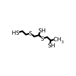 CC(S)CSC(S)CSCCS